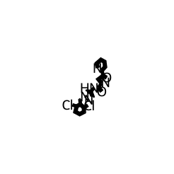 O=C(Nc1cnn(Cc2c(Cl)cccc2Cl)c1)c1cc(-c2ccccn2)on1